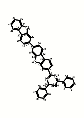 c1ccc(C2=NC(c3ccc4c(c3)sc3cc(-c5ccc6c(c5)oc5ccccc56)ccc34)=NC(c3ccccc3)N2)cc1